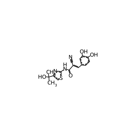 CC(C)(O)c1csc(NC(=O)/C(C#N)=C/c2ccc(O)c(O)c2)n1